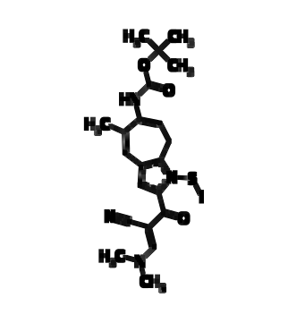 CC1=Cc2cc(C(=O)/C(C#N)=C/N(C)C)n(SI)c2CC=C1NC(=O)OC(C)(C)C